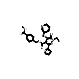 CCn1nc(-c2cccs2)c(C(=O)OCc2ccc(C(=O)OC)cc2)c(Nc2cccnc2)c1=O